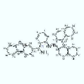 N/C(=C1/C=CC=CC1=Nn1c2ccc3ccccc3c2c2c3ccccc3ccc21)c1ccc2c(c1)oc1ccccc12